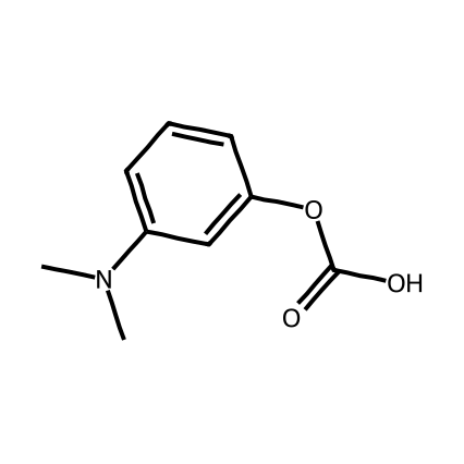 CN(C)c1cccc(OC(=O)O)c1